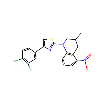 CC1Cc2c(cccc2[N+](=O)[O-])N(c2nc(-c3ccc(Cl)c(Cl)c3)cs2)C1